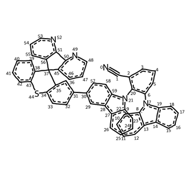 N#Cc1cccc(-n2c3ccccc3c3ccccc32)c1-n1c2ccccc2c2cc(-c3ccc4c(c3)C3(c5ccccc5S4)c4cccnc4-c4ncccc43)ccc21